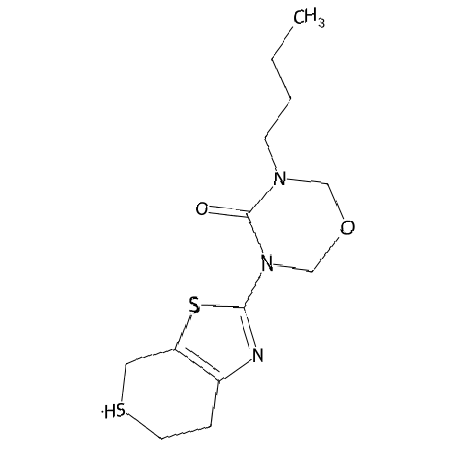 CCCCN1COCN(c2nc3c(s2)C[SH]CC3)C1=O